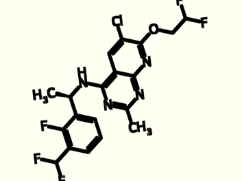 Cc1nc(N[C@H](C)c2cccc(C(F)F)c2F)c2cc(Cl)c(OCC(F)F)nc2n1